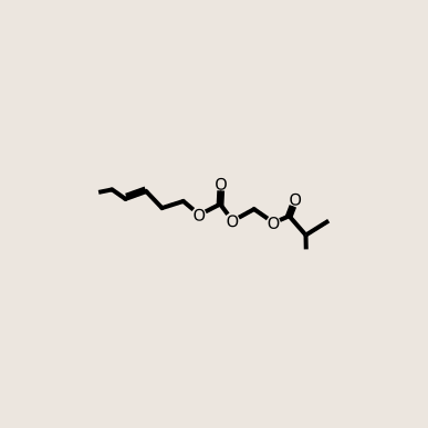 CCC=CCCOC(=O)OCOC(=O)C(C)C